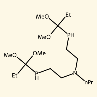 CCCN(CCPC(CC)(OC)OC)CCPC(CC)(OC)OC